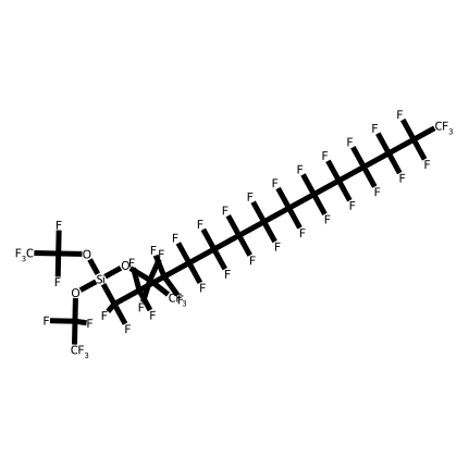 FC(F)(F)C(F)(F)O[Si](OC(F)(F)C(F)(F)F)(OC(F)(F)C(F)(F)F)C(F)(F)C(F)(F)C(F)(F)C(F)(F)C(F)(F)C(F)(F)C(F)(F)C(F)(F)C(F)(F)C(F)(F)C(F)(F)C(F)(F)C(F)(F)C(F)(F)F